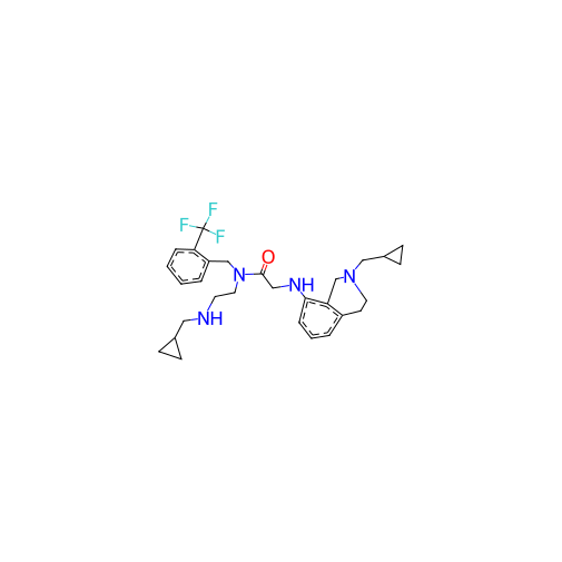 O=C(CNc1cccc2c1CN(CC1CC1)CC2)N(CCNCC1CC1)Cc1ccccc1C(F)(F)F